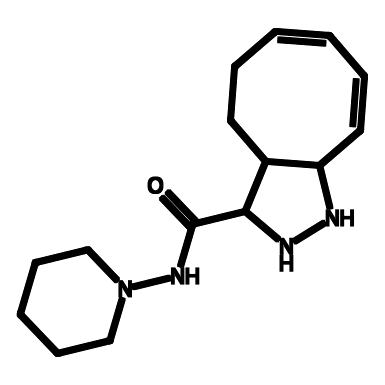 O=C(NN1CCCCC1)C1NNC2/C=C\C=C/CCC21